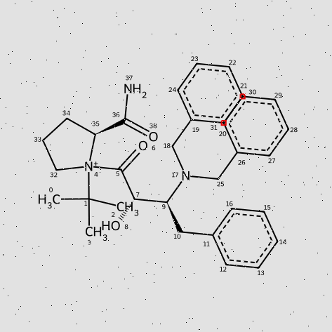 CC(C)(C)[N+]1(C(=O)[C@@H](O)[C@H](Cc2ccccc2)N(Cc2ccccc2)Cc2ccccc2)CCC[C@H]1C(N)=O